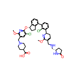 COC1=NC(c2cccc(-c3cccc4c3CC[C@@H]4Oc3nc(OC)c(CN4CCC(C(=O)O)CC4)cc3Cl)c2Cl)CC=C1CNC[C@@H]1CCC(=O)N1